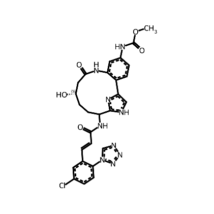 COC(=O)Nc1ccc2c(c1)NC(=O)C[C@@H](O)CCC(NC(=O)C=Cc1cc(Cl)ccc1-n1cnnn1)c1nc-2c[nH]1